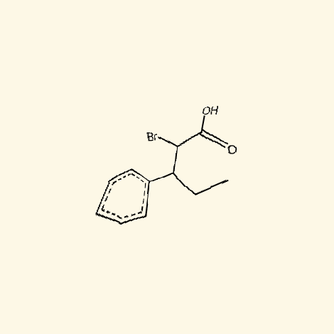 CCC(c1ccccc1)C(Br)C(=O)O